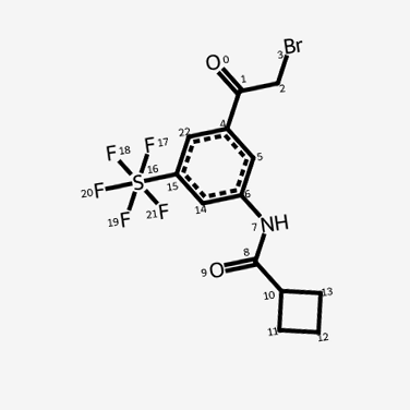 O=C(CBr)c1cc(NC(=O)C2CCC2)cc(S(F)(F)(F)(F)F)c1